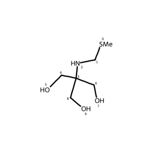 CSCNC(CO)(CO)CO